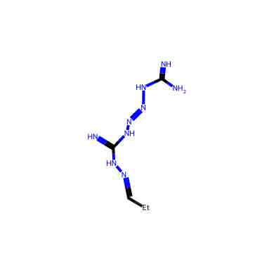 CCC=NNC(=N)NN=NNC(=N)N